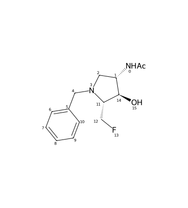 CC(=O)N[C@H]1CN(Cc2ccccc2)[C@@H](CF)[C@@H]1O